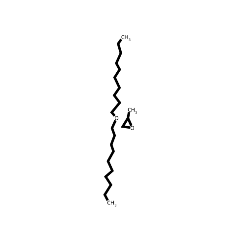 CC1CO1.CCCCCCCCCCOCCCCCCCCCC